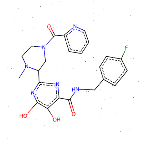 CN1CCN(C(=O)c2ccccn2)CC1c1nc(O)c(O)c(C(=O)NCc2ccc(F)cc2)n1